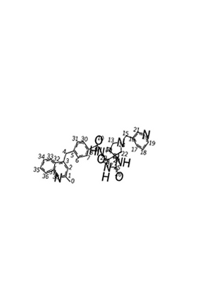 Cc1cc(Cc2ccc(C(=O)N[C@@H]3CN(Cc4cccnc4)C[C@]34NC(=O)NC4=O)cc2)c2ccccc2n1